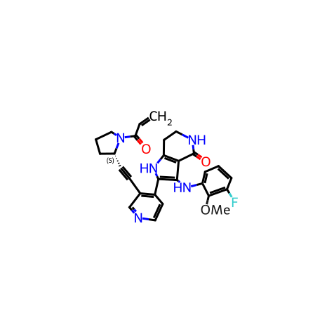 C=CC(=O)N1CCC[C@H]1C#Cc1cnccc1-c1[nH]c2c(c1Nc1cccc(F)c1OC)C(=O)NCC2